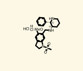 COc1cc2c(cc1CN[C@H]1CCCN[C@H]1c1ccccc1)N(S(C)(=O)=O)CC2.Cl.Cl